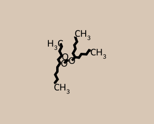 CCCCCCC(CCCCC)OC(=O)OC(CCCCC)CCCCCC